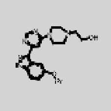 CC(C)Oc1ccc2[nH]nc(-c3cc(N4CCN(CCO)CC4)ncn3)c2c1